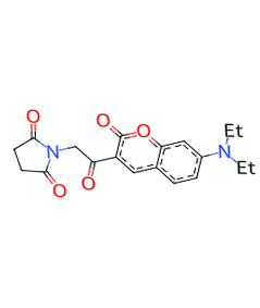 CCN(CC)c1ccc2cc(C(=O)CN3C(=O)CCC3=O)c(=O)oc2c1